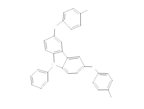 Fc1ccc(Sc2ccc3c(c2)-c2cc(Sc4ccc(F)cc4)ccc2[SH]3c2ccccc2)cc1